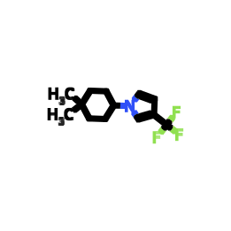 CC1(C)CCC(n2ccc(C(F)(F)F)c2)CC1